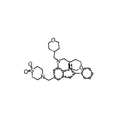 O=S1(=O)CCN(Cc2cc(N(CC3CCOCC3)CC3CCOCC3)c3[nH]c(-c4ccccc4)cc3c2)CC1